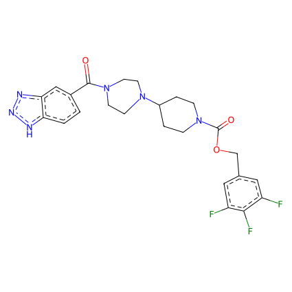 O=C(OCc1cc(F)c(F)c(F)c1)N1CCC(N2CCN(C(=O)c3ccc4[nH]nnc4c3)CC2)CC1